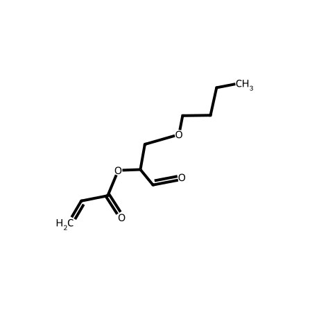 C=CC(=O)OC(C=O)COCCCC